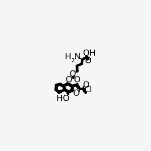 CC(=O)c1cc2c(OC(=O)OCCC[C@H](N)C(=O)O)c3ccccc3c(O)c2o1.Cl